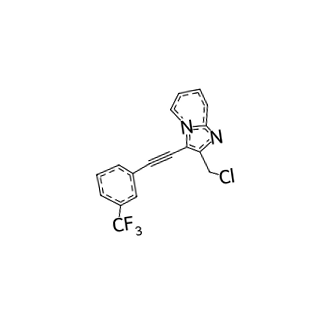 FC(F)(F)c1cccc(C#Cc2c(CCl)nc3ccccn23)c1